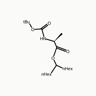 CCCCCCC(CCCCCC)OC(=O)[C@H](C)NC(=O)OC(C)(C)C